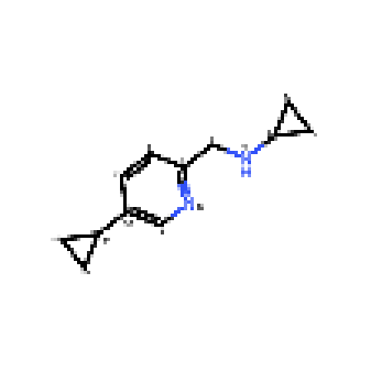 c1cc(CNC2CC2)ncc1C1CC1